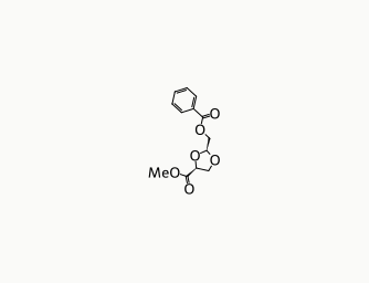 COC(=O)[C@@H]1CO[C@H](COC(=O)c2ccccc2)O1